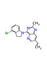 C=Cc1cnc2c(N3CCc4c(Br)cccc43)nc(C)nc2c1